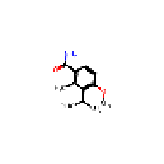 Cc1c(C(N)=O)ccc(OC(F)(F)F)c1C(C)C=O